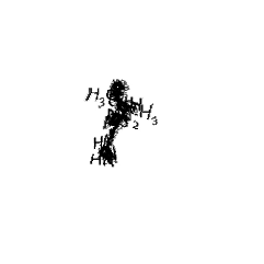 COc1cc(-c2csc3c(C=CCNCc4cccc5[nH]cnc45)cnc(N)c23)ccc1NC(=O)c1cc2ccccc2n1C